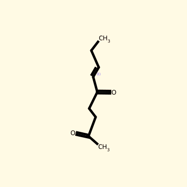 CC/C=C/C(=O)CCC(C)=O